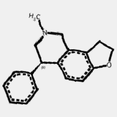 CN1Cc2c(ccc3c2CCO3)[C@@H](c2ccccc2)C1